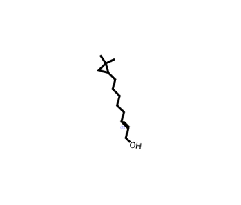 CC1(C)CC1CCCCC/C=C/CO